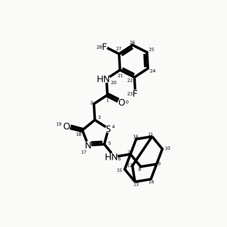 O=C(CC1SC(NC23CC4CC(CC(C4)C2)C3)=NC1=O)Nc1c(F)cccc1F